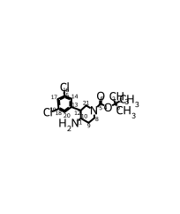 CC(C)(C)OC(=O)N1CCC(N)C(c2cc(Cl)cc(Cl)c2)C1